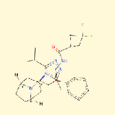 Cc1nnc(C(C)C)n1[C@H]1C[C@H]2CC[C@@H](C1)N2CCC(CNC(=O)C1CC(F)(F)C1)c1ccccc1